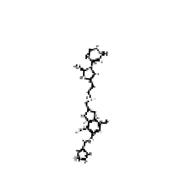 O=C1OC(CCNCC2Cc3c(F)cc(OCc4cc[nH]n4)c(F)c3C2)CN1C1=CNCC=N1